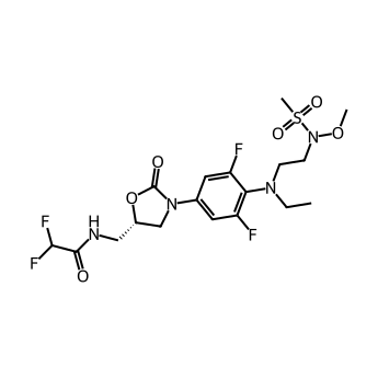 CCN(CCN(OC)S(C)(=O)=O)c1c(F)cc(N2C[C@H](CNC(=O)C(F)F)OC2=O)cc1F